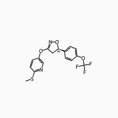 CSc1ccc(OC2=NO[C@@H](c3ccc(OC(F)(F)F)cc3)C2)cn1